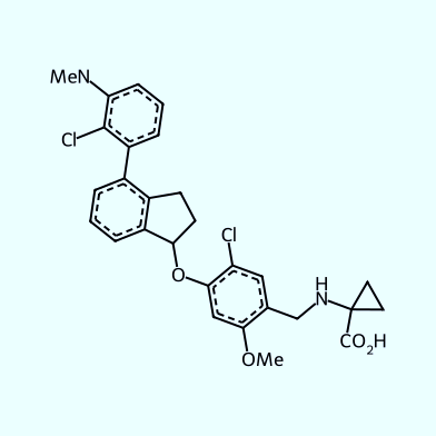 CNc1cccc(-c2cccc3c2CCC3Oc2cc(OC)c(CNC3(C(=O)O)CC3)cc2Cl)c1Cl